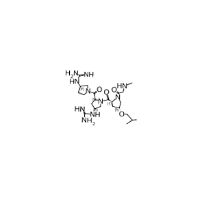 CNCC(=O)N1C[C@H](OCC(C)C)C[C@H]1C(=O)N1C[C@H](NC(=N)N)C[C@H]1C(=O)N1CC[C@@H](NC(=N)N)C1